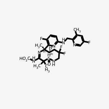 Cc1cc(F)cnc1CNc1ccc(F)c([C@@]2(C)N=C(NC(=O)O)C(C)(C)[SH]3(=O)NCC(F)(F)C[C@H]23)n1